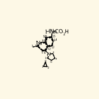 C1CC1.Cc1cc(N2CCCC2)c2ccc(NC(=O)O)cc2n1